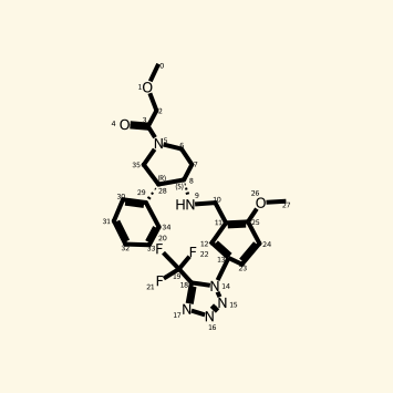 COCC(=O)N1CC[C@H](NCc2cc(-n3nnnc3C(F)(F)F)ccc2OC)[C@H](c2ccccc2)C1